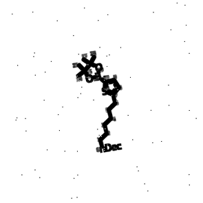 CCCCCCCCCCCCCCCCc1ccc(B2OC(C)(C)C(C)(C)O2)s1